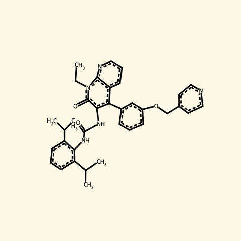 CCn1c(=O)c(NC(=O)Nc2c(C(C)C)cccc2C(C)C)c(-c2cccc(OCc3ccncc3)c2)c2cccnc21